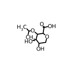 CC(C)OC1C(C(=O)O)OCC(O)C1O